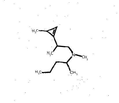 CCCC(C)N(C)CC(C)C1=CC1C